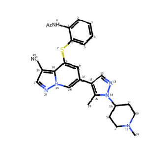 CC(=O)Nc1ccccc1Sc1cc(-c2cnn(C3CCN(C)CC3)c2C)cn2ncc(C#N)c12